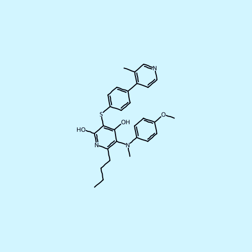 CCCCc1nc(O)c(Sc2ccc(-c3ccncc3C)cc2)c(O)c1N(C)c1ccc(OC)cc1